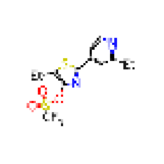 CCc1cc(-c2nc(OS(=O)(=O)C(F)(F)F)c(CC)s2)ccn1